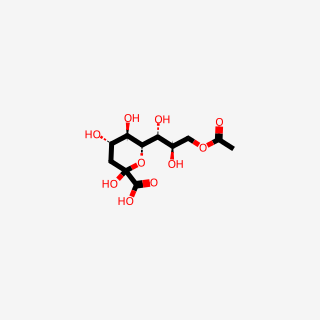 CC(=O)OC[C@@H](O)[C@@H](O)[C@@H]1OC(O)(C(=O)O)C[C@H](O)[C@H]1O